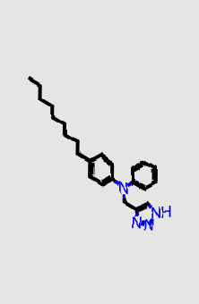 CCCCCCCCCc1ccc(N(Cc2c[nH]nn2)c2ccccc2)cc1